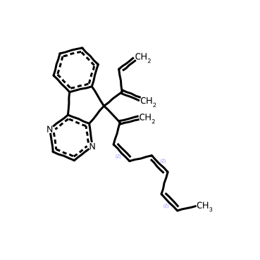 C=CC(=C)C1(C(=C)\C=C/C=C\C=C/C)c2ccccc2-c2nccnc21